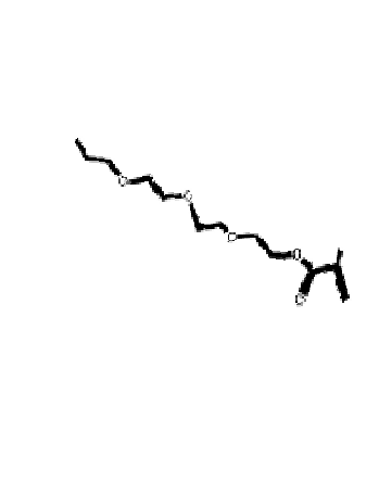 C=C(C)C(=O)OCCOCCOCCOCCC